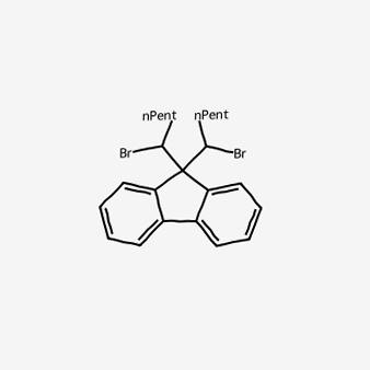 CCCCCC(Br)C1(C(Br)CCCCC)c2ccccc2-c2ccccc21